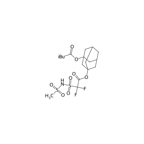 CCC(C)C(=O)OC12CC3CC(C1)CC(OC(=O)C(F)(F)S(=O)(=O)NS(C)(=O)=O)(C3)C2